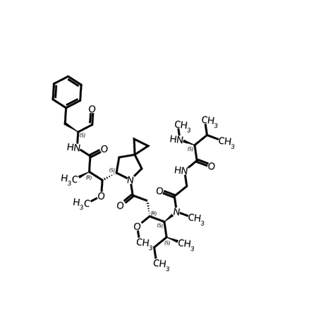 CC[C@H](C)[C@@H]([C@@H](CC(=O)N1CC2(CC2)C[C@H]1C(OC)[C@@H](C)C(=O)N[C@H](C=O)Cc1ccccc1)OC)N(C)C(=O)CNC(=O)[C@@H](NC)C(C)C